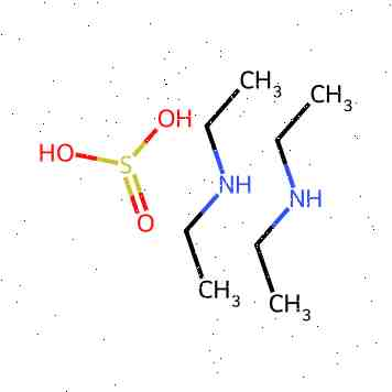 CCNCC.CCNCC.O=S(O)O